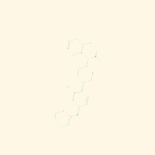 O=C(c1ccc(N2CCC(N3C(=O)OCc4ccccc43)CC2)c([N+](=O)[O-])c1)N1CCOCC1